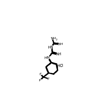 Cl.N=C(N)NC(=N)NC1CCCC(C(F)(F)F)C1